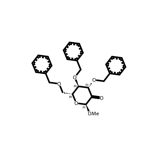 CO[C@H]1O[C@H](COCc2ccccc2)[C@@H](OCc2ccccc2)[C@H](OCc2ccccc2)C1=O